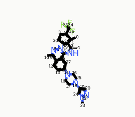 Cc1c([C@@H](C)Nc2nnc(C)c3ccc(N4CCN(c5cnn(C)c5)CC4)cc23)cccc1C(F)(F)F